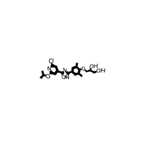 Cc1cc(-c2noc(-c3cc(Cl)nc(OC(C)C)c3)n2)cc(C)c1OC[C@@H](O)CO